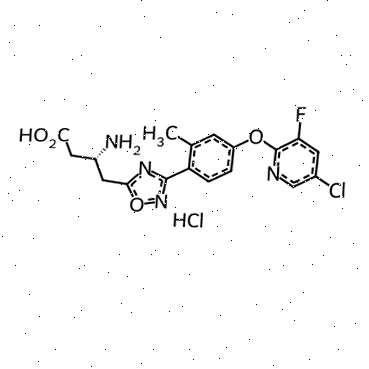 Cc1cc(Oc2ncc(Cl)cc2F)ccc1-c1noc(C[C@@H](N)CC(=O)O)n1.Cl